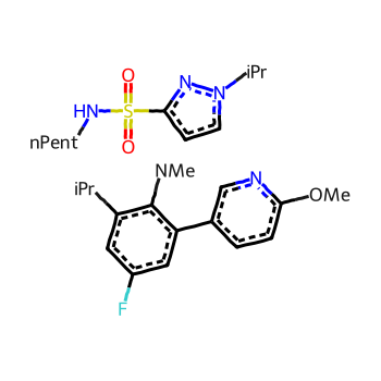 CCCCCNS(=O)(=O)c1ccn(C(C)C)n1.CNc1c(-c2ccc(OC)nc2)cc(F)cc1C(C)C